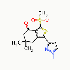 CC1(C)CC(=O)c2c(S(C)(=O)=O)sc(-c3cc[nH]n3)c2C1